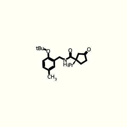 Cc1ccc(OC(C)(C)C)c(CNC(=O)[C@@]2(C(C)C)CCC(=O)C2)c1